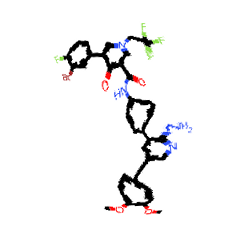 COc1ccc(-c2cnc(N)c(-c3ccc(NC(=O)c4cn(CC(F)(F)F)cc(-c5ccc(F)c(Br)c5)c4=O)cc3)c2)cc1OC